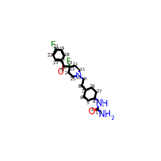 NC(=O)NC1CCC(CCN2CCC(F)(C(=O)c3ccc(F)cc3)CC2)CC1